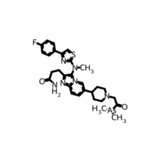 CN(c1nc(-c2ccc(F)cc2)cs1)c1c(CCC(N)=O)nc2ccc(C3CCN(CC(=O)[As](C)C)CC3)cn12